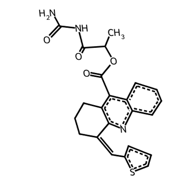 CC(OC(=O)c1c2c(nc3ccccc13)/C(=C\c1cccs1)CCC2)C(=O)NC(N)=O